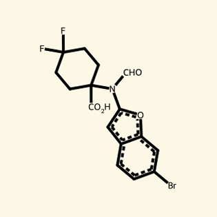 O=CN(c1cc2ccc(Br)cc2o1)C1(C(=O)O)CCC(F)(F)CC1